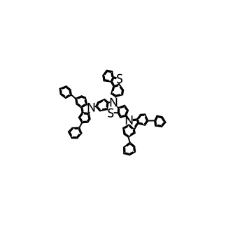 c1ccc(-c2ccc3c(c2)c2cc(-c4ccccc4)ccc2n3-c2ccc3c(c2)Sc2cc(-n4c5ccc(-c6ccccc6)cc5c5cc(-c6ccccc6)ccc54)ccc2N3c2ccc3sc4ccccc4c3c2)cc1